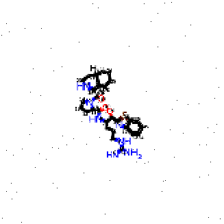 N=C(N)NCCCC(NC(=O)[C@@H]1CCCN1C(=O)[C@@H]1NCC[C@H]2CCCC[C@H]21)C(=O)c1nc2ccccc2s1